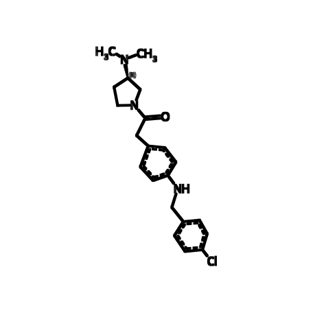 CN(C)[C@@H]1CCN(C(=O)Cc2ccc(NCc3ccc(Cl)cc3)cc2)C1